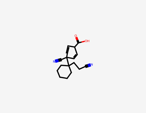 N#CCCC1(C2(C#N)C=CC(C(=O)O)C=C2)CCCCC1